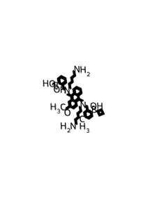 CC(=O)c1ccc2c(CN(CCCCCCN)Cc3cc(C)ccc3B(O)C3CCC3)c3ccccc3c(CN(CCCCCCN)Cc3ccccc3B(O)O)c2c1